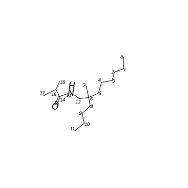 CCCCCCC(C)(CCCC)CNC(=O)C(C)C